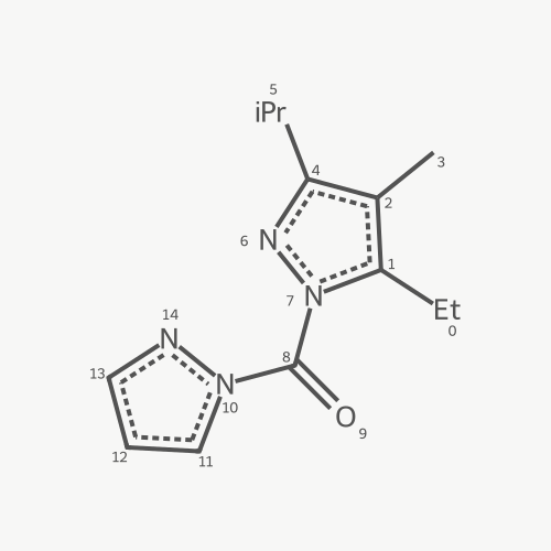 CCc1c(C)c(C(C)C)nn1C(=O)n1cccn1